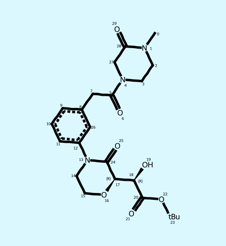 CN1CCN(C(=O)Cc2cccc(N3CCO[C@H]([C@@H](O)C(=O)OC(C)(C)C)C3=O)c2)CC1=O